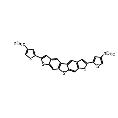 CCCCCCCCCCc1csc(-c2cc3cc4c(cc3s2)sc2cc3sc(-c5cc(CCCCCCCCCC)cs5)cc3cc24)c1